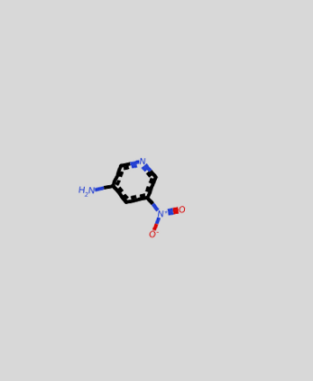 Nc1cncc([N+](=O)[O-])c1